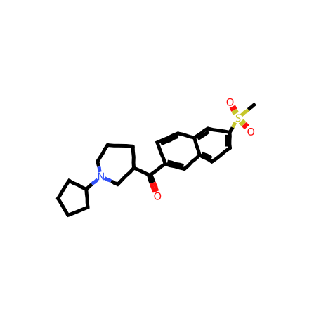 CS(=O)(=O)c1ccc2cc(C(=O)C3CCCN(C4CCCC4)C3)ccc2c1